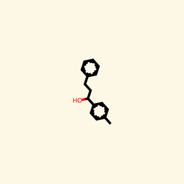 Cc1ccc(C(O)CCc2ccccc2)cc1